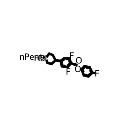 CCCCC[SiH]1CCC(c2cc(F)c(C(=O)Oc3ccc(F)cc3)c(F)c2)CC1